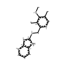 COc1c(C)cnc(CSc2nc3ncccc3[nH]2)c1C